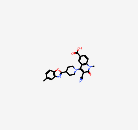 Cc1ccc2oc(C3CCN(c4c(C#N)c(=O)n(C)c5ccc(C(=O)O)cc45)CC3)nc2c1